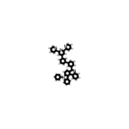 c1ccc(-n2c3ccccc3c3c4c(ccc32)c(-c2cccc(-c3cccc(-c5cc(-c6ccccn6)nc(-c6ccccn6)c5)c3)c2)nc2ccccc24)cc1